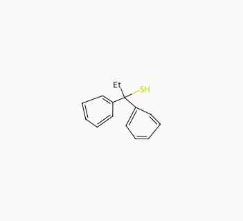 CCC(S)(c1ccccc1)c1ccccc1